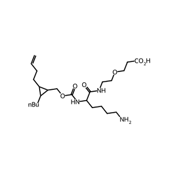 C=CCCC1C(CCCC)C1COC(=O)NC(CCCCN)C(=O)NCCOCCC(=O)O